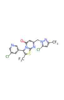 O=c1cc(Cn2nc(C(F)(F)F)cc2Cl)nc2sc(C(F)(F)F)c(-c3cncc(Cl)c3)n12